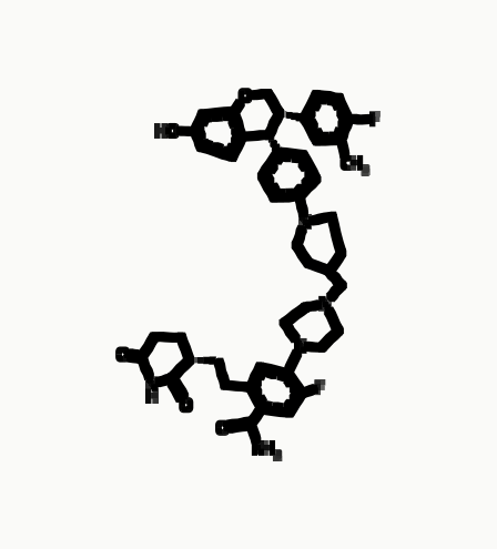 Cc1cc([C@H]2COc3cc(O)ccc3[C@H]2c2ccc(N3CCC(CN4CCN(c5cc(CC[C@H]6CCC(=O)NC6=O)c(C(N)=O)cc5F)CC4)CC3)cc2)ccc1F